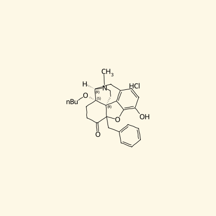 CCCCO[C@@]12CCC(=O)C3(Cc4ccccc4)Oc4c(O)ccc5c4[C@@]31CCN(C)[C@@H]2C5.Cl